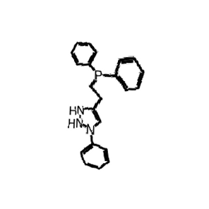 C1=C(CCP(c2ccccc2)c2ccccc2)NNN1c1ccccc1